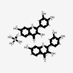 O=P(O)(O)O.O=c1c(O)c(-c2ccc(O)c(O)c2)oc2cc(O)ccc12.O=c1c(O)c(-c2ccc(O)c(O)c2)oc2cc(O)ccc12